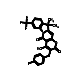 CC1(C)c2ccc(C(F)(F)F)cc2-n2c1cc1oc(=O)c(Sc3ccc(F)cc3)c(O)c1c2=O